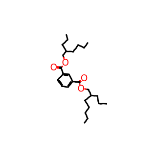 CCCCCC(CCC)COC(=O)c1cccc(C(=O)OCC(CCC)CCCC)c1